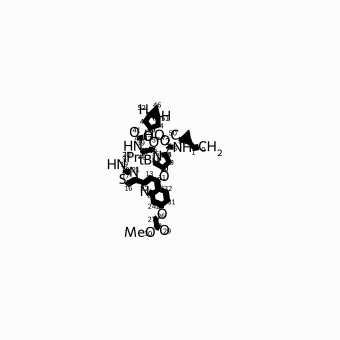 C=CC1C[C@]1(NC(=O)[C@@H]1C[C@@H](Oc2cc(-c3csc(NC(C)C)n3)nc3cc(OCC(=O)OC)ccc23)CN1C(=O)[C@@H](NC(=O)O[C@@H]1C[C@@H]2C[C@@H]2C1)C(C)(C)C)C(=O)O